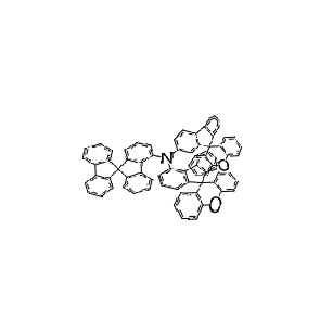 c1ccc2c(c1)Oc1ccccc1C21c2ccccc2-c2ccc(N(c3cccc4c3-c3ccccc3C43c4ccccc4Oc4ccccc43)c3cccc4c3-c3ccccc3C43c4ccccc4-c4ccccc43)cc21